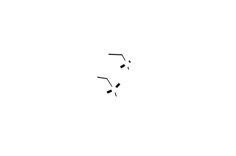 CCS(=O)(=O)[O-].CCS(=O)(=O)[O-].[Cd+2]